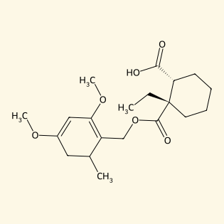 CC[C@]1(C(=O)OCC2=C(OC)C=C(OC)CC2C)CCCC[C@H]1C(=O)O